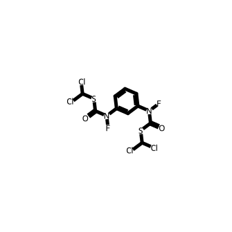 O=C(SC(Cl)Cl)N(F)c1cccc(N(F)C(=O)SC(Cl)Cl)c1